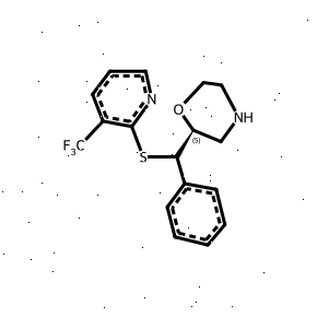 FC(F)(F)c1cccnc1SC(c1ccccc1)[C@@H]1CNCCO1